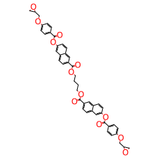 O=C(OCCCCOC(=O)c1ccc2cc(OC(=O)c3ccc(OCC4CO4)cc3)ccc2c1)c1ccc2cc(OC(=O)c3ccc(OCC4CO4)cc3)ccc2c1